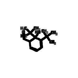 CC(C)(C)C1=CC=CC(C=O)C1(O)C(C)(C)C